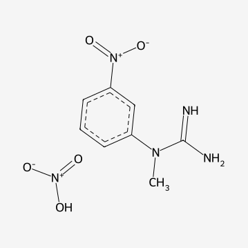 CN(C(=N)N)c1cccc([N+](=O)[O-])c1.O=[N+]([O-])O